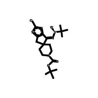 CC(C)(C)OC(=O)N1CCC2(CC1)Cc1sc(Cl)nc1/C2=N\[S@@+]([O-])C(C)(C)C